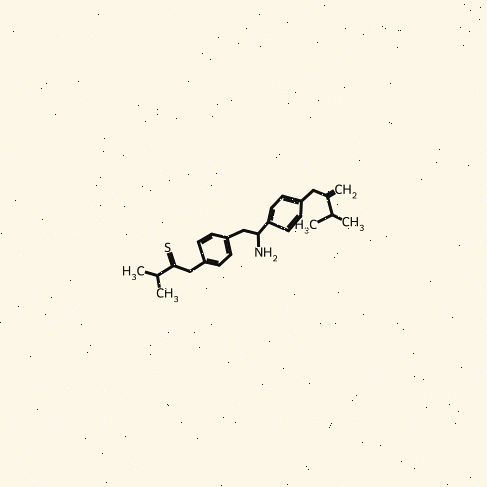 C=C(Cc1ccc(C(N)Cc2ccc(CC(=S)C(C)C)cc2)cc1)C(C)C